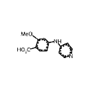 COc1cc(Nc2ccncc2)ccc1C(=O)O